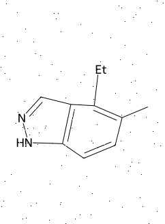 CCc1c(C)ccc2[nH]ncc12